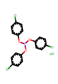 Cl.Clc1ccc(OP(Oc2ccc(Cl)cc2)Oc2ccc(Cl)cc2)cc1